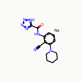 N#Cc1c(NC(=O)c2nnn[nH]2)cccc1N1CCCCC1.[Na]